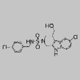 O=S(=O)(NCc1ccc(Cl)cc1)N1Cc2[nH]c3ccc(Cl)cc3c2C(CO)C1